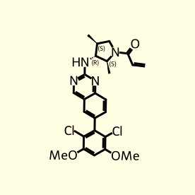 C=CC(=O)N1C[C@H](C)[C@@H](Nc2ncc3cc(-c4c(Cl)c(OC)cc(OC)c4Cl)ccc3n2)[C@@H]1C